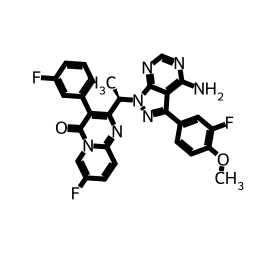 COc1ccc(-c2nn([C@H](C)c3nc4ccc(F)cn4c(=O)c3-c3cccc(F)c3)c3ncnc(N)c23)cc1F